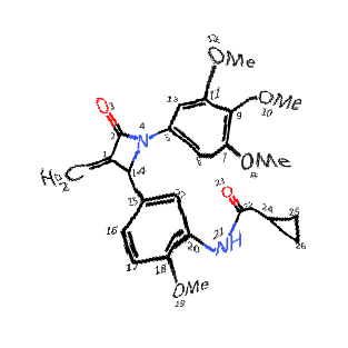 C=C1C(=O)N(c2cc(OC)c(OC)c(OC)c2)C1c1ccc(OC)c(NC(=O)C2CC2)c1